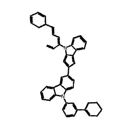 C=C/C(=C\C=CC1C=CC=CC1)n1c2c(c3ccccc31)=CC(c1ccc3c(c1)c1ccccc1n3-c1cccc(C3=CCCCC3)c1)=C=2